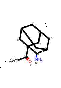 CC(=O)OC(=O)C12CC3CC(CC(C3)C1N)C2